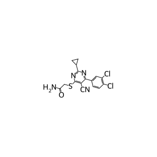 N#Cc1c(SCC(N)=O)nc(C2CC2)nc1-c1ccc(Cl)c(Cl)c1